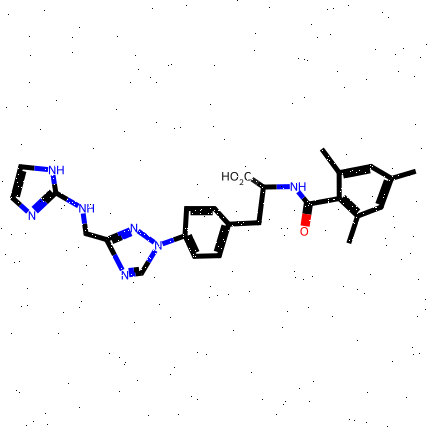 Cc1cc(C)c(C(=O)NC(Cc2ccc(-n3cnc(CNc4ncc[nH]4)n3)cc2)C(=O)O)c(C)c1